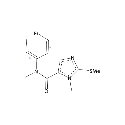 C/C=C(\C=C/CC)N(C)C(=O)c1cnc(SC)n1C